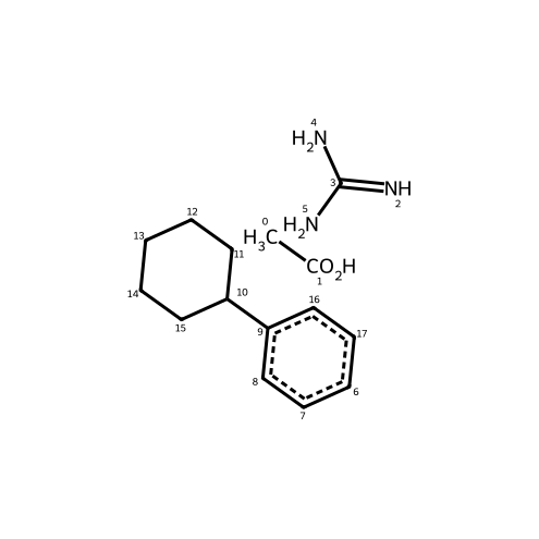 CC(=O)O.N=C(N)N.c1ccc(C2CCCCC2)cc1